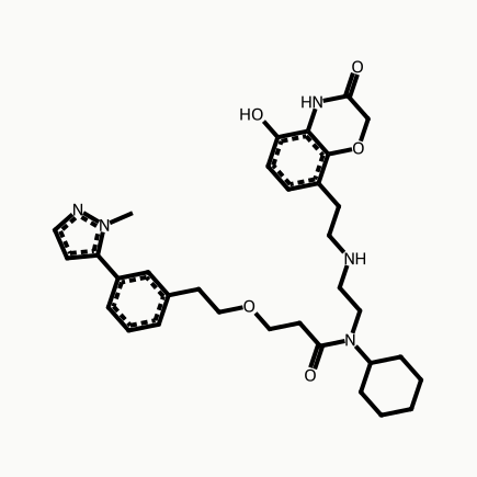 Cn1nccc1-c1cccc(CCOCCC(=O)N(CCNCCc2ccc(O)c3c2OCC(=O)N3)C2CCCCC2)c1